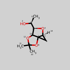 C[C@H](O)[C@H]1O[C@H]2CC23OC(C)(C)OC13